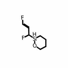 FC=CC(F)[SiH]1CCCCO1